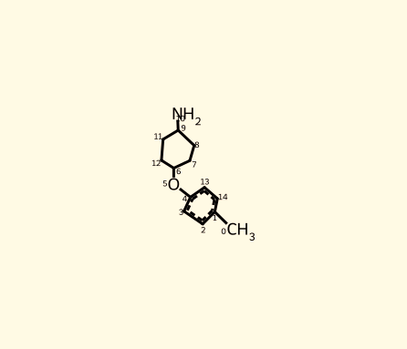 Cc1ccc(OC2CCC(N)CC2)cc1